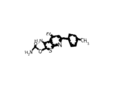 CCc1cc(-c2ccc(C)cc2)nc2sc(OC(N)=O)c(N)c12